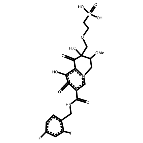 COC1Cn2cc(C(=O)NCc3ccc(F)cc3F)c(=O)c(O)c2C(=O)C1(C)COCCP(=O)(O)O